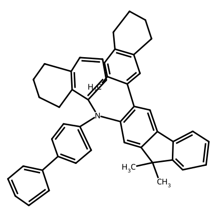 Cc1cc2c(cc1-c1cc3c(cc1N(c1ccc(-c4ccccc4)cc1)c1cccc4c1CCCC4)C(C)(C)c1ccccc1-3)CCCC2